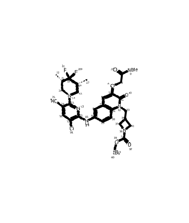 CNC(=O)COc1cc2cc(Nc3nc(N4C[C@@H](C)C(F)(F)[C@@H](C)C4)c(C#N)cc3Cl)ccc2n(CC2CN(C(=O)OC(C)(C)C)C2)c1=O